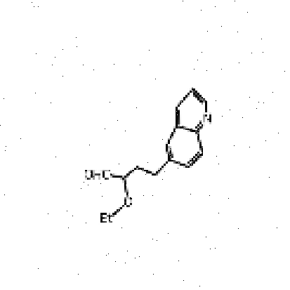 CCOC(C=O)CCc1ccc2ncccc2c1